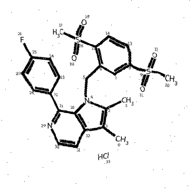 Cc1c(C)n(Cc2cc(S(C)(=O)=O)ccc2S(C)(=O)=O)c2c(-c3ccc(F)cc3)nccc12.Cl